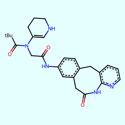 CC(C)(C)C(=O)N(CC(=O)Nc1ccc2c(c1)CC(=O)Nc1ncccc1C2)C1=CNCCC1